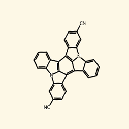 N#Cc1ccc2c3c4c5ccccc5n5c6cc(C#N)ccc6c(c6c7ccccc7n(c2c1)c63)c45